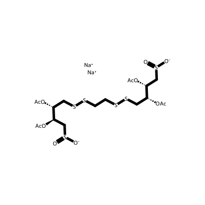 CC(=O)O[C@H](CSSCCSSC[C@@H](OC(C)=O)[C@@H](CS(=O)[O-])OC(C)=O)[C@@H](CS(=O)[O-])OC(C)=O.[Na+].[Na+]